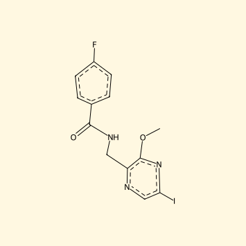 COc1nc(I)cnc1CNC(=O)c1ccc(F)cc1